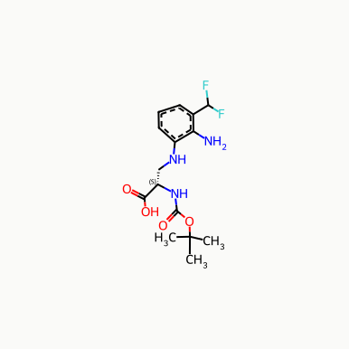 CC(C)(C)OC(=O)N[C@@H](CNc1cccc(C(F)F)c1N)C(=O)O